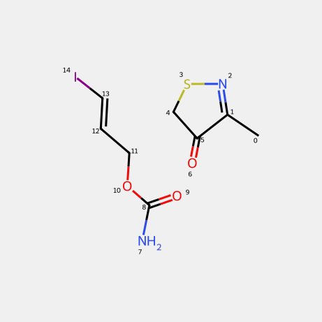 CC1=NSCC1=O.NC(=O)OCC=CI